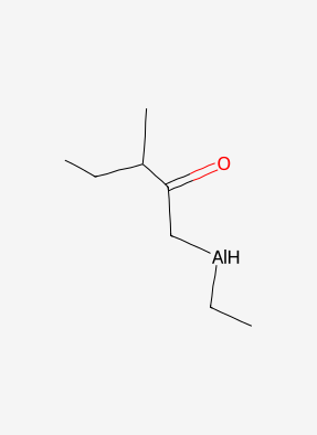 C[CH2][AlH][CH2]C(=O)C(C)CC